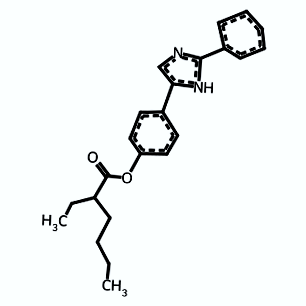 CCCCC(CC)C(=O)Oc1ccc(-c2cnc(-c3ccccc3)[nH]2)cc1